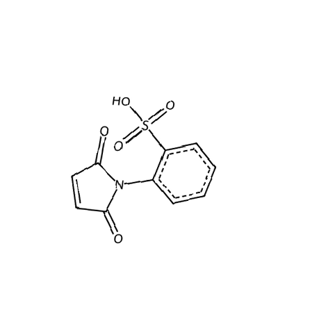 O=C1C=CC(=O)N1c1ccccc1S(=O)(=O)O